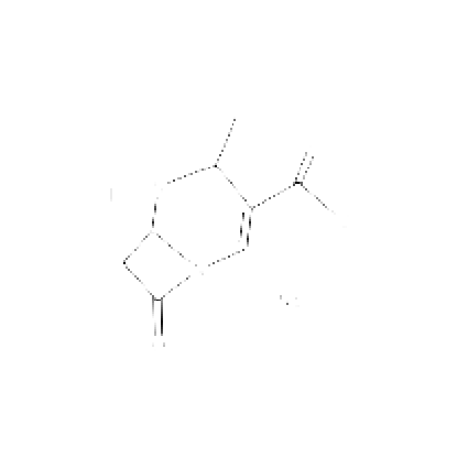 CC1S[C@@H]2CC(=O)N2C=C1C(=O)[O-].[Na+]